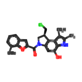 COc1cccc2cc(C(=O)N3C[C@@H](CCl)c4c3cc(O)c3[nH]c(C(F)(F)F)c(C(=O)O)c43)oc12